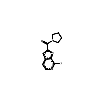 O=C(c1cc2ccnc(Cl)c2[nH]1)N1CCCC1